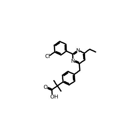 CCc1cc(Cc2ccc(C(C)(C)C(=O)O)cc2)nc(-c2cccc(Cl)c2)n1